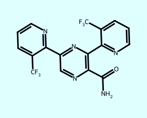 NC(=O)c1ncc(-c2ncccc2C(F)(F)F)nc1-c1ncccc1C(F)(F)F